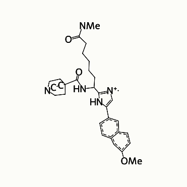 CNC(=O)CCCCCC(NC(=O)C12CCN(CC1)CC2)C1=[N+]C=C(c2ccc3cc(OC)ccc3c2)N1